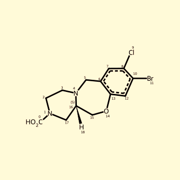 O=C(O)N1CCN2Cc3cc(Cl)c(Br)cc3OC[C@@H]2C1